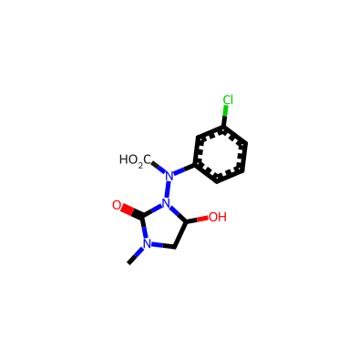 CN1CC(O)N(N(C(=O)O)c2cccc(Cl)c2)C1=O